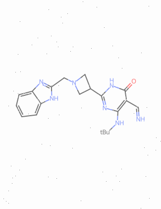 CC(C)(C)Nc1nc(C2CN(Cc3nc4ccccc4[nH]3)C2)[nH]c(=O)c1C=N